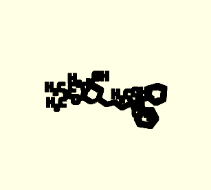 CC(C)(C)OC(=O)C[C@H](/C=N/O)CCCC(C)(C)[Si](O)(c1ccccc1)c1ccccc1